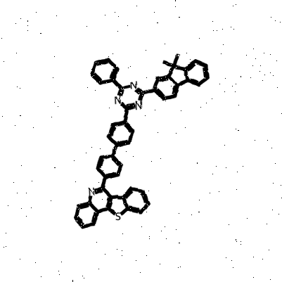 CC1(C)c2ccccc2-c2ccc(-c3nc(-c4ccccc4)nc(-c4ccc(-c5ccc(-c6nc7ccccc7c7sc8ccccc8c67)cc5)cc4)n3)cc21